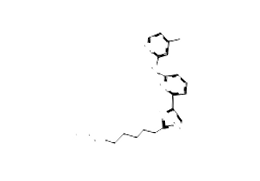 CC(=O)NCCCCCc1ncc(-c2cccc(Nc3cc(C)ccn3)n2)s1